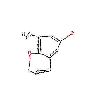 Cc1cc(Br)cc2c1OCC=C2